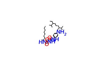 CCC(CCCC(CN)C(C)C)C(C)C.CCCCCCCC(C)NS(=O)(=O)NC(=O)Nc1ccccc1